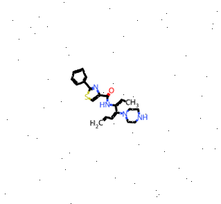 C=C/C=C(\C(=C/C)NC(=O)c1csc(-c2ccccc2)n1)N1CCNCC1